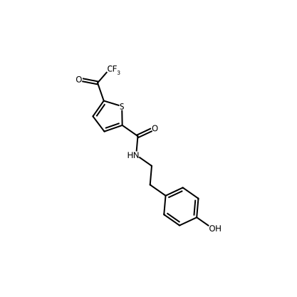 O=C(NCCc1ccc(O)cc1)c1ccc(C(=O)C(F)(F)F)s1